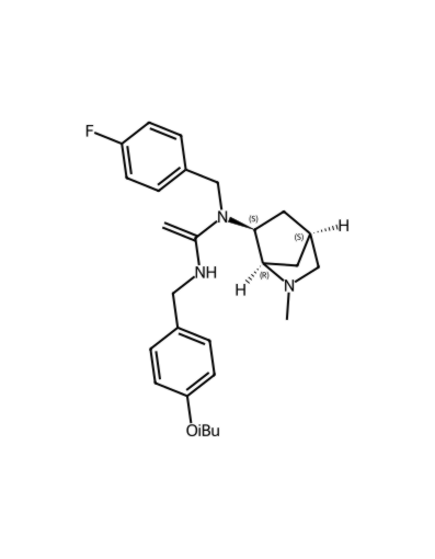 C=C(NCc1ccc(OCC(C)C)cc1)N(Cc1ccc(F)cc1)[C@H]1C[C@@H]2C[C@H]1N(C)C2